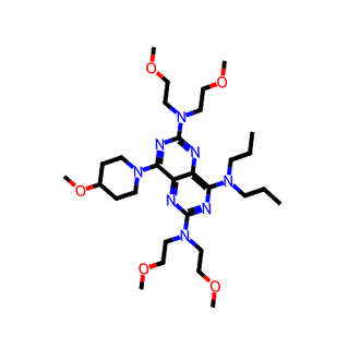 CCCN(CCC)c1nc(N(CCOC)CCOC)nc2c(N3CCC(OC)CC3)nc(N(CCOC)CCOC)nc12